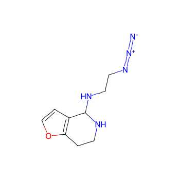 [N-]=[N+]=NCCNC1NCCc2occc21